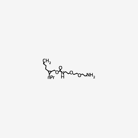 C=CCCC1C(CCC)C1COC(=O)NCCOCCOCCN